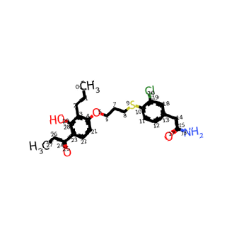 CCCc1c(OCCCSc2ccc(CC(N)=O)cc2Cl)ccc(C(=O)CC)c1O